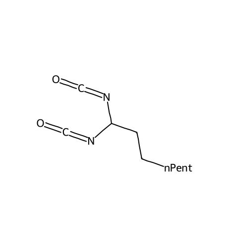 CCCCCCCC(N=C=O)N=C=O